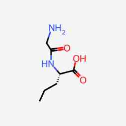 CCC[C@H](NC(=O)CN)C(=O)O